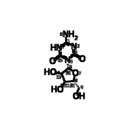 Nc1nc(=O)n([C@@H]2O[C@H](CO)C(O)C2O)c(=O)[nH]1